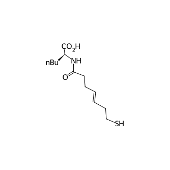 CCCC[C@H](NC(=O)CC/C=C/CCS)C(=O)O